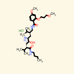 CCCCNC(=O)[C@@H](C[C@H](O)[C@@H](N)C[C@H](CNC(=O)c1ccc(OC)cc1OCCCOC)C(C)C)C(C)C.Cl